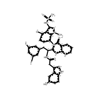 Cn1nc(NS(C)(=O)=O)c2c(Cl)ccc(-n3c(C(Cc4cc(F)cc(F)c4)NC(=O)Cc4n[nH]c5ccc(O)cc45)nc4ncccc4c3=O)c21